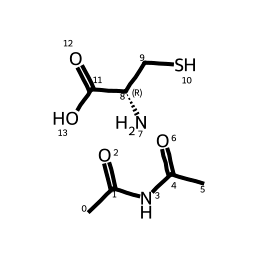 CC(=O)NC(C)=O.N[C@@H](CS)C(=O)O